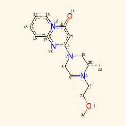 COCCN1CCN(c2cc(=O)n3ccccc3n2)C[C@@H]1C